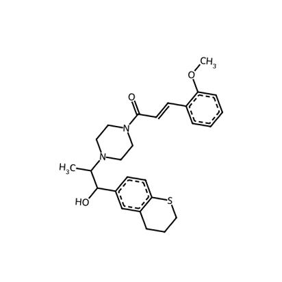 COc1ccccc1C=CC(=O)N1CCN(C(C)C(O)c2ccc3c(c2)CCCS3)CC1